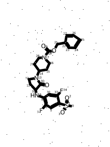 CS(=O)(=O)c1cc(F)c(NC2CCN(C3CCN(C(=O)OCc4ccccc4)CC3)C2=O)cc1F